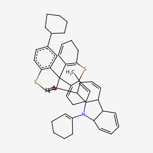 CC1C=CC2C3C=CC=CC3N(C3=CCCCC3)C2C1c1cccc2c1C1(C3=CCCC=C3SC3=C1C=CCC3)c1cc(C3CCCCC3)ccc1S2